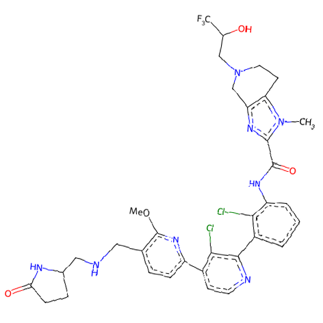 COc1nc(-c2ccnc(-c3cccc(NC(=O)c4nc5c(n4C)CCN(CC(O)C(F)(F)F)C5)c3Cl)c2Cl)ccc1CNCC1CCC(=O)N1